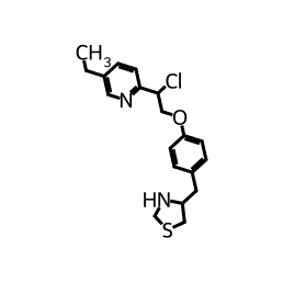 CCc1ccc(C(Cl)COc2ccc(CC3CSCN3)cc2)nc1